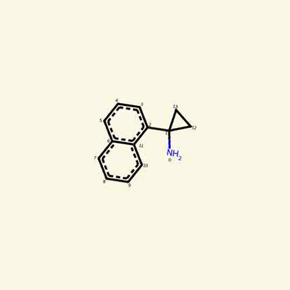 NC1(c2cccc3ccccc23)CC1